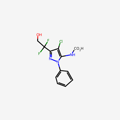 O=C(O)Nc1c(Cl)c(C(F)(F)CO)nn1-c1ccccc1